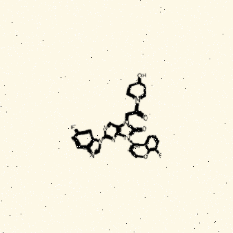 O=C(Cn1c(=O)n([C@@H]2CCOc3c(F)cccc32)c2nc(-n3cnc4ccc(F)cc43)ncc21)N1CCC(O)CC1